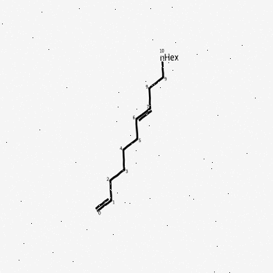 C=CCCCC/C=C/CCCCCCCC